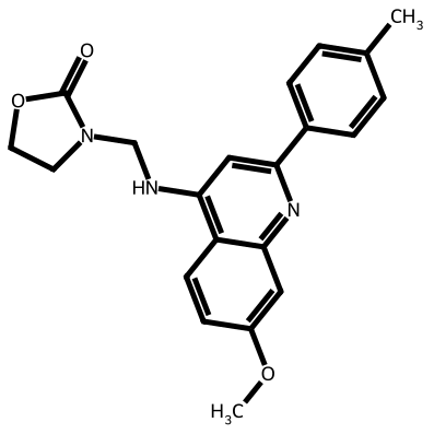 COc1ccc2c(NCN3CCOC3=O)cc(-c3ccc(C)cc3)nc2c1